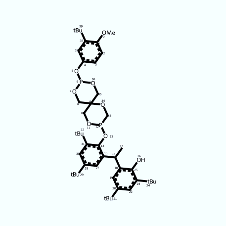 COc1ccc(OP2OCC3(COP(Oc4c(C(C)c5cc(C(C)(C)C)cc(C(C)(C)C)c5O)cc(C(C)(C)C)cc4C(C)(C)C)CO3)CO2)cc1C(C)(C)C